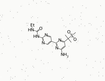 CCNC(=O)Nc1ncc(-c2nc(N)cc(C(C)(C)S(C)(=O)=O)n2)cn1